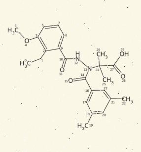 CCc1c(OC)cccc1C(=O)NN(C(=O)c1cc(C)cc(C)c1)C(C)(C)C(=O)O